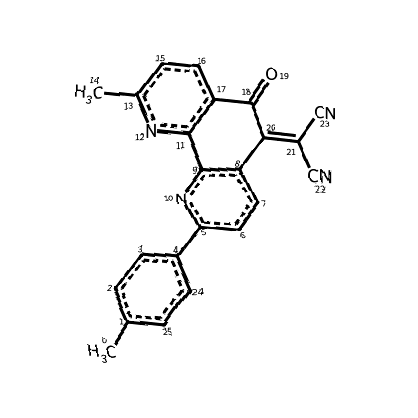 Cc1ccc(-c2ccc3c(n2)-c2nc(C)ccc2C(=O)C3=C(C#N)C#N)cc1